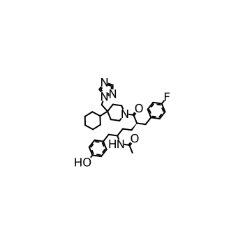 CC(=O)NC(CC[C@H](Cc1ccc(F)cc1)C(=O)N1CCC(Cn2cncn2)(C2CCCCC2)CC1)Cc1ccc(O)cc1